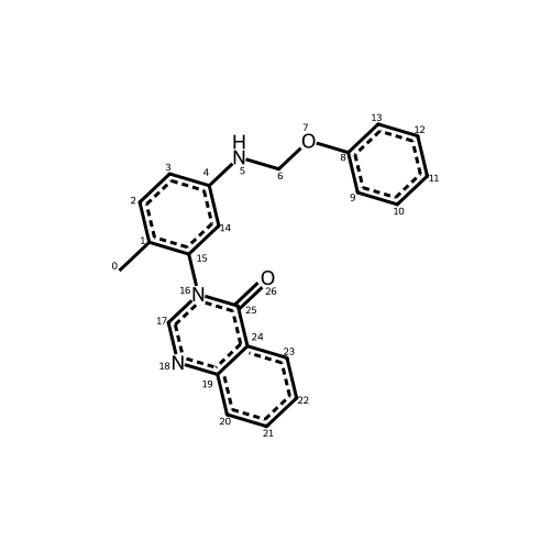 Cc1ccc(NCOc2ccccc2)cc1-n1cnc2ccccc2c1=O